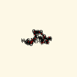 CCc1c2c(nc3ccc(OC(=O)CCSC4CC(=O)N(Cc5ccc(C(=O)NCCCCOc6cc(CN(Cc7ccccn7)Cc7ccccn7)cc(CN(Cc7ccccn7)Cc7ccccn7)c6)cc5)C4=O)cc13)-c1cc3c(c(=O)n1C2)COC(=O)[C@]3(O)CC